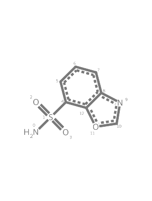 NS(=O)(=O)c1cccc2ncoc12